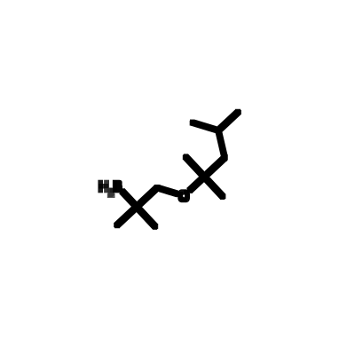 BC(C)(C)COC(C)(C)CC(C)C